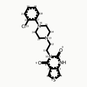 O=c1[nH]c2cscc2c(=O)n1CCN1CCN(c2ccccc2Cl)CC1